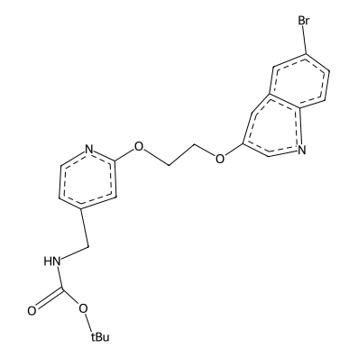 CC(C)(C)OC(=O)NCc1ccnc(OCCOc2cnc3ccc(Br)cc3c2)c1